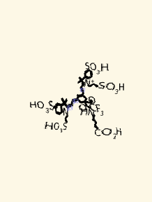 CC1(C)C(/C=C/C2=CC(=C/C=C3/N(CCCS(=O)(=O)O)c4ccc(S(=O)(=O)O)cc4C3(C)C)/CC(C(=O)CNCCCCCC(=O)O)(C(=O)C(F)(F)F)C2)=[N+](CCCS(=O)(=O)O)c2ccc(S(=O)(=O)O)cc21